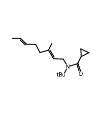 C/C=C/CC/C(C)=C/CN(C(=O)C1CC1)C(C)(C)C